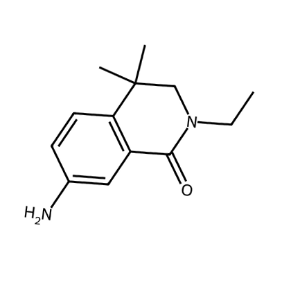 CCN1CC(C)(C)c2ccc(N)cc2C1=O